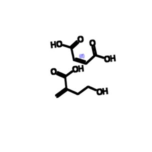 C=C(CCO)C(=O)O.O=C(O)/C=C\C(=O)O